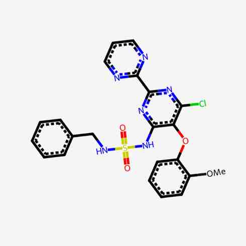 COc1ccccc1Oc1c(Cl)nc(-c2ncccn2)nc1NS(=O)(=O)NCc1ccccc1